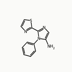 Nc1cnc(-c2nccs2)n1-c1ccccc1